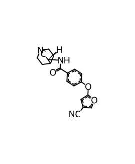 N#Cc1coc(Oc2ccc(C(=O)N[C@H]3CN4CCC3CC4)cc2)c1